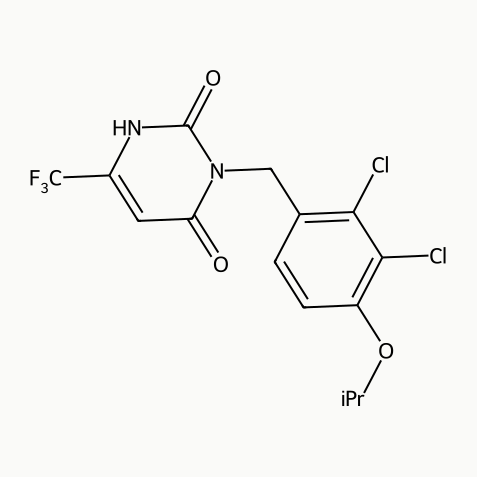 CC(C)Oc1ccc(Cn2c(=O)cc(C(F)(F)F)[nH]c2=O)c(Cl)c1Cl